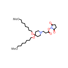 COCCCCCCCOC1(OCCCCCCCOC)CCN(CCC(=O)ON2C(=O)CCC2=O)CC1